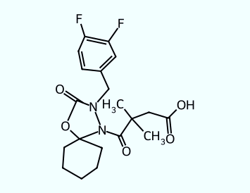 CC(C)(CC(=O)O)C(=O)N1N(Cc2ccc(F)c(F)c2)C(=O)OC12CCCCC2